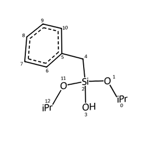 CC(C)O[Si](O)(Cc1ccccc1)OC(C)C